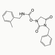 Cc1ccccc1CNC(=O)ON1CC(=O)N(Cc2ccccc2)C1=O